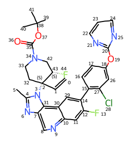 C=C[C@@]1(n2c(C)nc3cnc4cc(F)c(-c5ccc(Oc6ncccn6)cc5Cl)cc4c32)CCN(C(=O)OC(C)(C)C)C[C@@H]1F